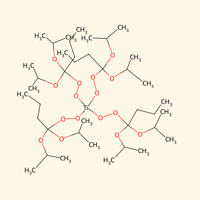 CCCC(O[O][Ti]([O]OC(CCC)(OC(C)C)OC(C)C)([O]OC(CCC)(OC(C)C)OC(C)C)[O]OC(CCC)(OC(C)C)OC(C)C)(OC(C)C)OC(C)C